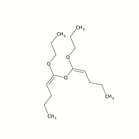 CCC/C=C(/OCCC)O/C(=C\CCC)OCCC